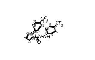 O=C(NNc1ccc(C(F)(F)F)cn1)c1cccn1-c1ccc(C(F)(F)F)cn1